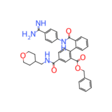 N=C(N)c1ccc(NC(=O)c2ccccc2-c2ccc(C(=O)NCC3CCOCC3)cc2C(=O)OCc2ccccc2)cc1